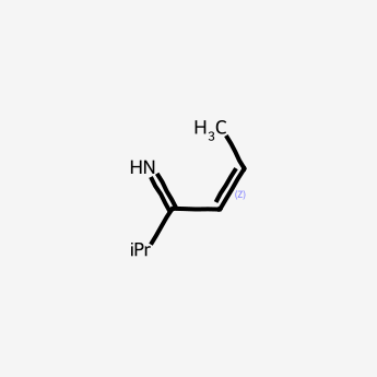 C/C=C\C(=N)C(C)C